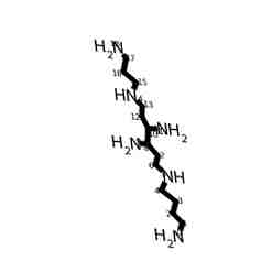 NCCCCNCCC(N)C(N)CCNCCCN